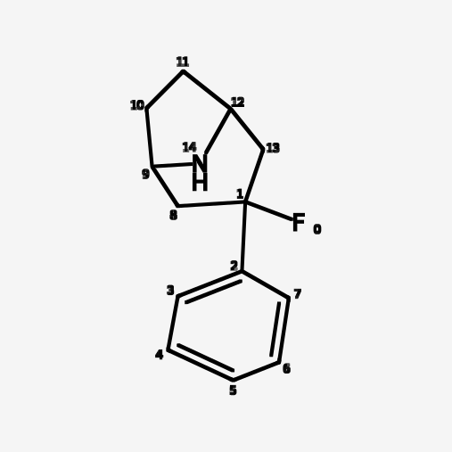 FC1(c2ccccc2)CC2CCC(C1)N2